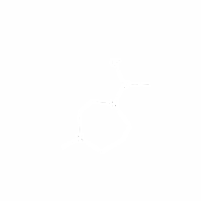 CN1CCCN([S+](C)[O-])CC1